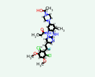 C=CC(=O)Nc1cc(N2CCN(C(C)O)CC2)cc(C)c1Nc1ncc(/C=C(\F)c2c(Cl)c(OC)cc(OC)c2Cl)cn1